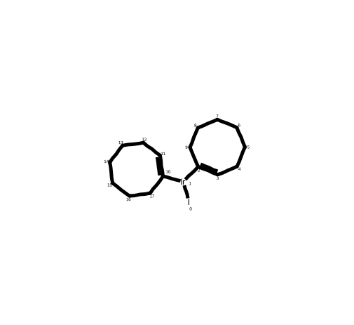 [I][Ir]([C]1=CCCCCCC1)[C]1=CCCCCCC1